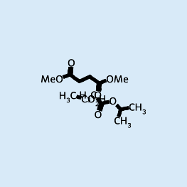 CC(=O)O.CC(=O)OC(C)C.COC(=O)CCC(=O)OC